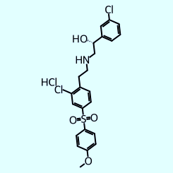 COc1ccc(S(=O)(=O)c2ccc(CCNC[C@H](O)c3cccc(Cl)c3)c(Cl)c2)cc1.Cl